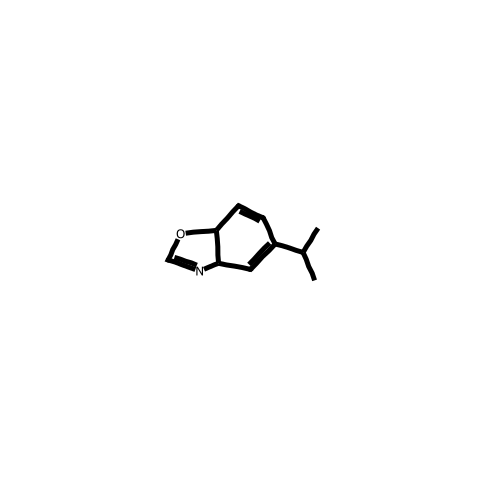 CC(C)C1=CC2N=COC2C=C1